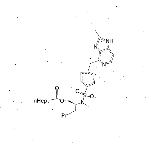 CCCCCCCC(=O)OC[C@H](CC(C)C)N(C)S(=O)(=O)c1ccc(Cc2nccc3[nH]c(C)nc23)cc1